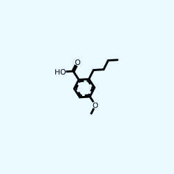 CCCCc1cc(OC)ccc1C(=O)O